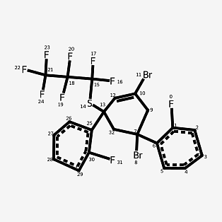 Fc1ccccc1C1(Br)[CH]C(Br)=CC(SC(F)(F)C(F)(F)C(F)(F)F)(c2ccccc2F)C1